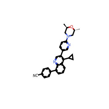 C[C@@H]1CN(c2ccc(-c3cnc4c(-c5ccc(C#N)cc5)cccc4c3C3CC3)cn2)C[C@@H](C)O1